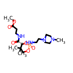 COC(=O)CCNC(=O)[C@@H]1OP(=O)(NCCN2CCN(C)CC2)OCC1(C)C